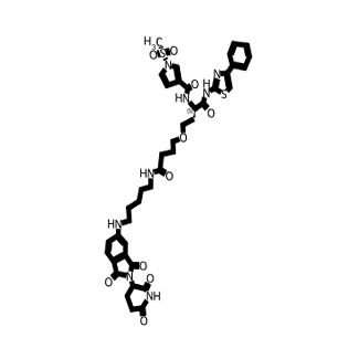 CS(=O)(=O)n1ccc(C(=O)N[C@@H](CCOCCCC(=O)NCCCCCNc2ccc3c(c2)C(=O)N(C2CCC(=O)NC2=O)C3=O)C(=O)Nc2nc(-c3ccccc3)cs2)c1